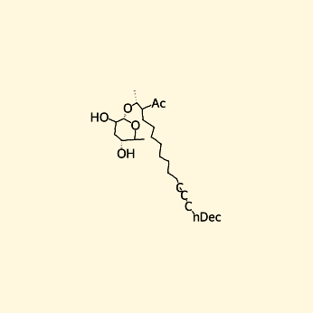 CCCCCCCCCCCCCCCCCCCCCC(C(C)=O)[C@@H](C)O[C@@H]1OC(C)[C@H](O)CC1O